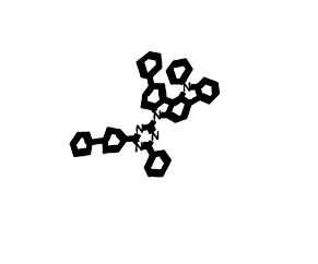 c1ccc(-c2ccc(-c3nc(-c4ccccc4)nc(-n4c5ccc(-c6ccccc6)cc5c5c4ccc4c6ccccc6n(-c6ccccc6)c45)n3)cc2)cc1